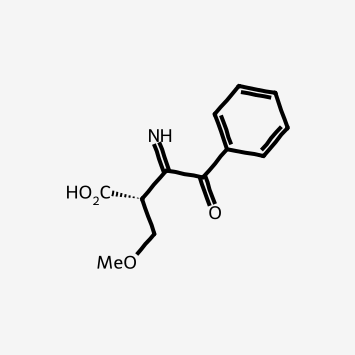 COC[C@@H](C(=N)C(=O)c1ccccc1)C(=O)O